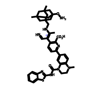 C/C(NCC12CC3(C)CC(C)(C1)CC(ON)(C3)C2)=C(/C=N)c1ccc(-c2ccc3c(c2)N(C(=O)Nc2nc4ccccc4s2)CCN3C)nc1C(=O)O